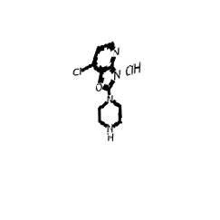 Cl.Clc1ccnc2nc(N3CCNCC3)oc12